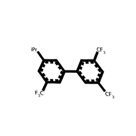 CC(C)c1cc(-c2cc(C(F)(F)F)cc(C(F)(F)F)c2)cc(C(F)(F)F)c1